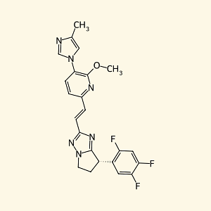 COc1nc(C=Cc2nc3n(n2)CC[C@H]3c2cc(F)c(F)cc2F)ccc1-n1cnc(C)c1